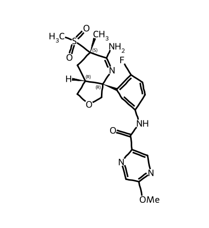 COc1cnc(C(=O)Nc2ccc(F)c([C@@]34COC[C@@H]3C[C@](C)(S(C)(=O)=O)C(N)=N4)c2)cn1